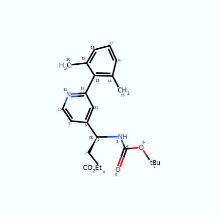 CCOC(=O)C[C@H](NC(=O)OC(C)(C)C)c1ccnc(-c2c(C)cccc2C)c1